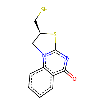 O=c1nc2n(c3ccccc13)C[C@@H](CS)S2